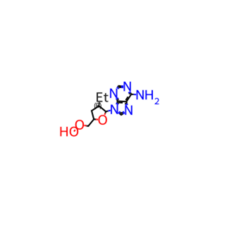 CC[C@@H]1CC(COO)OC1n1cnc2c(N)ncnc21